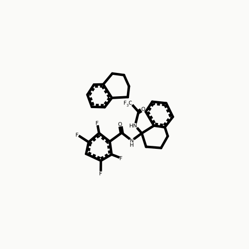 O=C(NC1(NC(=O)C(F)(F)F)CCCc2ccccc21)c1c(F)c(F)cc(F)c1F.c1ccc2c(c1)CCCC2